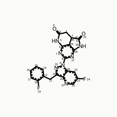 C[C@@]12CC(=O)Nc3nc(-n4nc(Cc5ccccc5F)c5ncc(F)cc54)nc(c31)NC2=O